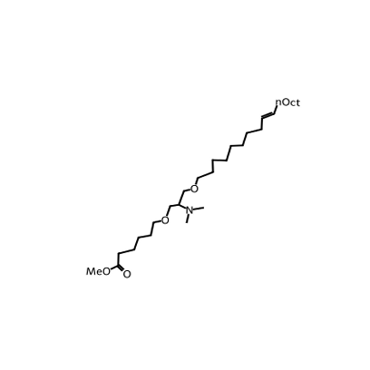 CCCCCCCCC=CCCCCCCCCOCC(COCCCCCC(=O)OC)N(C)C